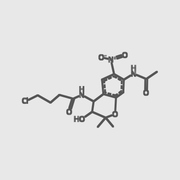 CC(=O)Nc1cc2c(cc1[N+](=O)[O-])C(NC(=O)CCCCl)C(O)C(C)(C)O2